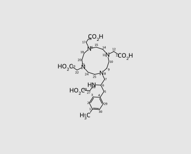 Cc1ccc(CC(CN2CCN(CC(=O)O)CCN(CC(=O)O)CCN(CC(=O)O)CC2)NCC(=O)O)cc1